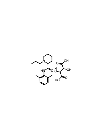 CCCN1CCCCC1C(=O)Nc1c(C)cccc1C.O=C(O)C(O)C(O)C(=O)O